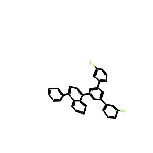 Fc1cccc(-c2cc(-c3cccc(F)c3)cc(-c3ccc(-c4ccccc4)c4ccccc34)c2)c1